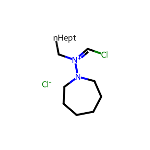 CCCCCCCC/[N+](=C/Cl)N1CCCCCC1.[Cl-]